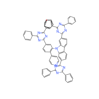 c1ccc(-c2nc(-c3ccccc3)nc(-c3ccc(-c4ccncc4)c(-n4c5cc(-c6nc(-c7ccccc7)nc(-c7ccccc7)n6)ccc5c5ccc(-c6nc(-c7ccccc7)nc(-c7ccccc7)n6)cc54)c3)n2)cc1